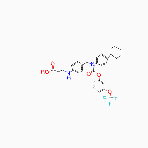 O=C(O)CCNc1ccc(CN(C(=O)Oc2cccc(OC(F)(F)F)c2)c2ccc(C3CCCCC3)cc2)cc1